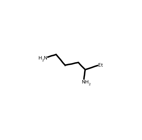 CCC(N)C[CH]CN